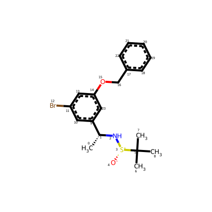 C[C@@H](N[S@@+]([O-])C(C)(C)C)c1cc(Br)cc(OCc2ccccc2)c1